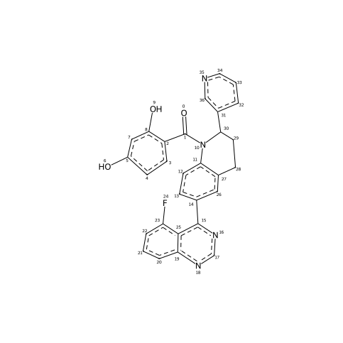 O=C(c1ccc(O)cc1O)N1c2ccc(-c3ncnc4cccc(F)c34)cc2CCC1c1cccnc1